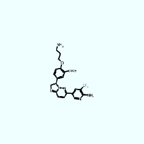 COc1cc(C2CN=C3C=CC(c4cnc(N)c(C(F)(F)F)c4)=NN32)ccc1OCCCN